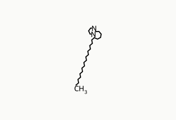 CCCCCCCCCCCCCCCCCCC1CCCCC2=NCCCN21